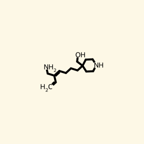 C=C/C(=C\CCCC1(CO)CCNCC1)CN